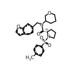 Cc1ccc(S(=O)(=O)N2CCC[C@H]2C(=O)N(Cc2ccc3ccoc3c2)C2CCCOC2)cc1